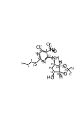 CCCSc1nc(Cl)c([N+](=O)[O-])c(N[C@@H]2C[C@H](O)[C@H]3OC(C)(C)O[C@H]32)n1